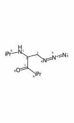 CC(C)NC(CN=[N+]=[N-])C(=O)C(C)C